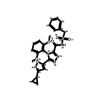 COc1cccc(OC)c1-n1c(C(=O)NS(=O)(=O)Cc2ccccc2)nnc1-c1cc(C2CC2)no1